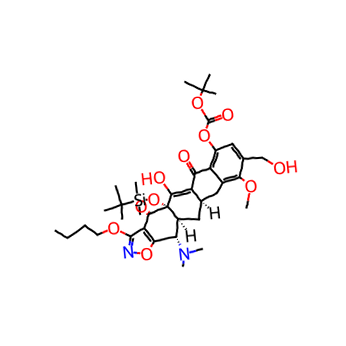 CCCCOc1noc2c1C(=O)[C@@]1(O[Si](C)(C)C(C)(C)C)C(O)=C3C(=O)c4c(OC(=O)OC(C)(C)C)cc(CO)c(OC)c4C[C@H]3C[C@H]1[C@@H]2N(C)C